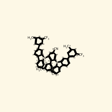 Cc1cc(-c2ccc3c4ccccc4n(-c4cc(C#N)cc(-n5c6ccccc6c6ccc(-c7cc(C)cc(C(F)(F)F)c7)cc65)c4-c4cc(C)cc(C(F)(F)F)c4)c3c2)cc(C(F)(F)F)c1